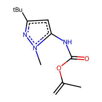 C=C(C)OC(=O)Nc1cc(C(C)(C)C)nn1C